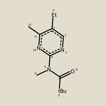 CCc1cnc(N(C)C(=O)C(C)(C)C)nc1C